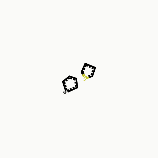 c1cc[se]c1.c1ccsc1